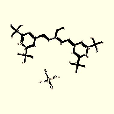 CCC(/C=C/c1cc(C(C)(C)C)[s+]c(C(C)(C)C)c1)=C\C=C1C=C(C(C)(C)C)SC(C(C)(C)C)=C1.[O-][Cl+3]([O-])([O-])[O-]